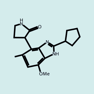 COc1cc(C)c(C2CCNC2=O)c2nc(C3CCCC3)[nH]c12